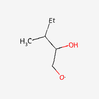 CCC(C)C(O)C[O]